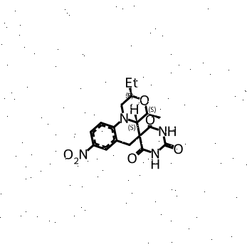 CC[C@@H]1CN2c3ccc([N+](=O)[O-])cc3CC3(C(=O)NC(=O)NC3=O)[C@H]2[C@H](C)O1